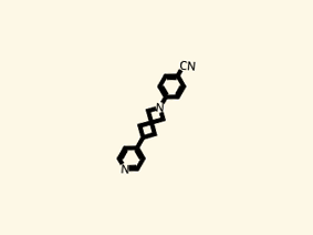 N#Cc1ccc(N2CC3(CC(c4ccncc4)C3)C2)cc1